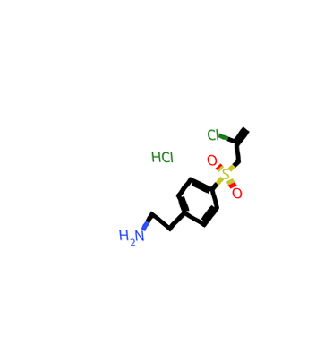 C=C(Cl)CS(=O)(=O)c1ccc(CCN)cc1.Cl